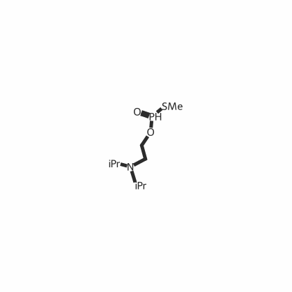 CS[PH](=O)OCCN(C(C)C)C(C)C